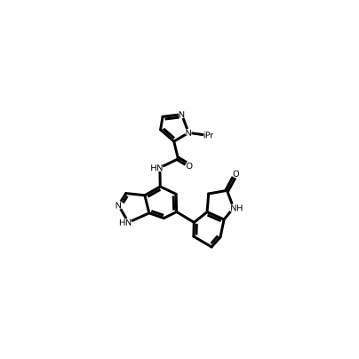 CC(C)n1nccc1C(=O)Nc1cc(-c2cccc3c2CC(=O)N3)cc2[nH]ncc12